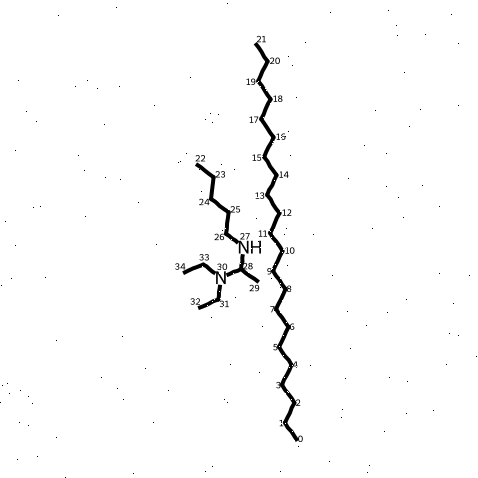 CCCCCCCCCCCCCCCCCCCCCC.CCCCCNC(C)N(CC)CC